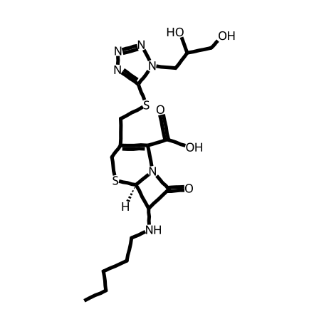 CCCCCNC1C(=O)N2C(C(=O)O)=C(CSc3nnnn3CC(O)CO)CS[C@H]12